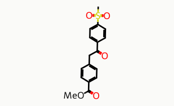 COC(=O)c1ccc(CC(=O)c2ccc(S(C)(=O)=O)cc2)cc1